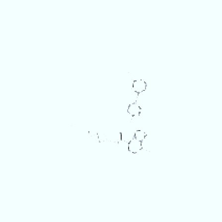 CCOc1nccc(-c2ccc(Cn3ncc4c(Cl)ccc(C(=O)NC5CC6(C5)CC(C(=O)O)C6)c43)cc2)n1